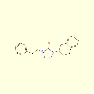 S=c1n(CCc2ccccc2)ccn1C1CCc2ccccc2C1